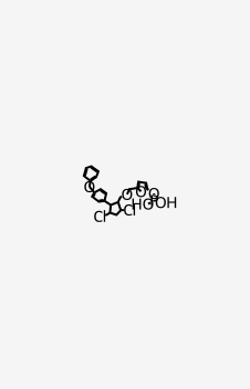 OP(O)Oc1ccc(COCC2C(Cl)CC(Cl)C2c2ccc(Oc3ccccc3)cc2)o1